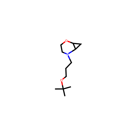 CC(C)(C)OCCCN1CCOC2CC21